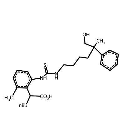 CCCCC(C(=O)O)c1c(C)cccc1NC(=S)NCCCCC(C)(CO)c1ccccc1